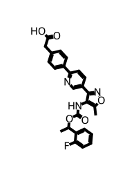 Cc1onc(-c2ccc(-c3ccc(CC(=O)O)cc3)nc2)c1NC(=O)OC(C)c1ccccc1F